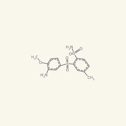 COc1ccc(S(=O)(=O)c2cc(C)ccc2S(N)(=O)=O)cc1N